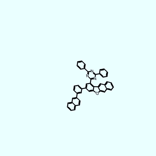 c1ccc(-c2nc(-c3ccccc3)nc(-c3cc(-c4cccc(-c5ccc6ccccc6c5)c4)cc4oc5cc6ccccc6cc5c34)n2)cc1